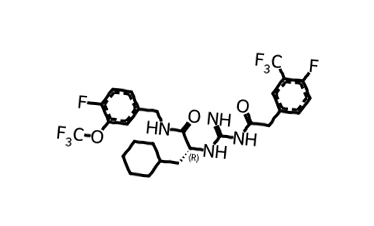 N=C(NC(=O)Cc1ccc(F)c(C(F)(F)F)c1)N[C@H](CC1CCCCC1)C(=O)NCc1ccc(F)c(OC(F)(F)F)c1